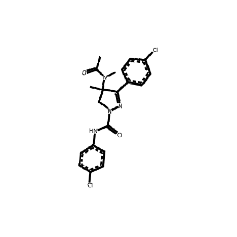 CC(=O)N(C)C1(C)CN(C(=O)Nc2ccc(Cl)cc2)N=C1c1ccc(Cl)cc1